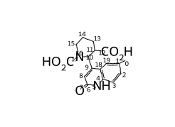 Cc1ccc2[nH]c(=O)cc(C3C(C(=O)O)CCCN3C(=O)O)c2c1